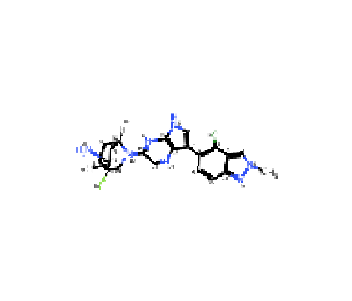 Cn1cc2c(Cl)c(-c3c[nH]c4nc(N5C[C@]6(F)CC[C@H]5C[C@H]6N)cnc34)ccc2n1